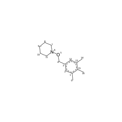 Cc1cc(CON2CC[CH]CC2)cc(C)c1C